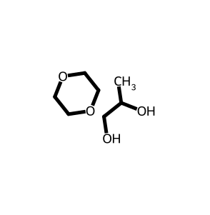 C1COCCO1.CC(O)CO